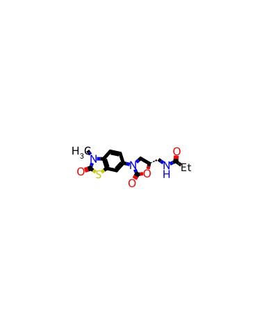 CCC(=O)NC[C@H]1CN(c2ccc3c(c2)sc(=O)n3C)C(=O)O1